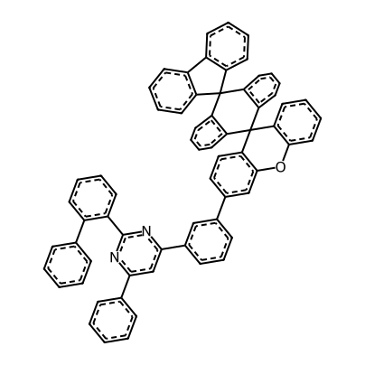 c1ccc(-c2cc(-c3cccc(-c4ccc5c(c4)Oc4ccccc4C54c5ccccc5C5(c6ccccc6-c6ccccc65)c5ccccc54)c3)nc(-c3ccccc3-c3ccccc3)n2)cc1